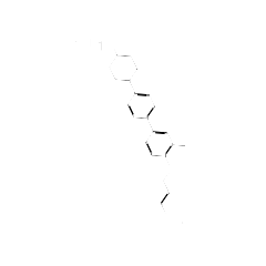 CCCCCCCC1CCC(c2ccc(-c3ccc(OC/C=C/C(F)(F)F)c(F)c3)cc2)CC1